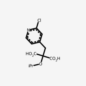 CC(C)OC(Cc1ccnc(Cl)c1)(C(=O)O)C(=O)O